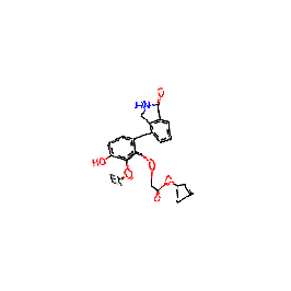 CCOc1c(O)ccc(-c2cccc3c2CNC3=O)c1OCC(=O)OC1CCC1